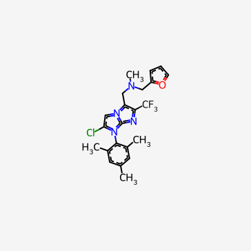 Cc1cc(C)c(-n2c(Cl)cn3c(CN(C)Cc4ccco4)c(C(F)(F)F)nc23)c(C)c1